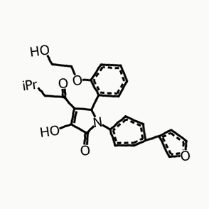 CC(C)CC(=O)C1=C(O)C(=O)N(c2ccc(-c3ccoc3)cc2)C1c1ccccc1OCCO